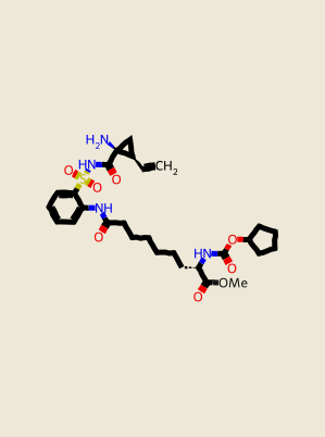 C=C[C@@H]1C[C@@]1(N)C(=O)NS(=O)(=O)c1ccccc1NC(=O)CCCCCC[C@H](NC(=O)OC1CCCC1)C(=O)OC